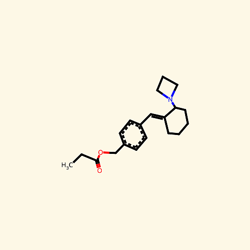 CCC(=O)OCc1ccc(C=C2CCCCC2N2CCC2)cc1